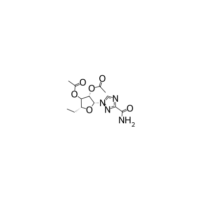 CC[C@H]1O[C@@H](n2cnc(C(N)=O)n2)[C@@H](OC(C)=O)C1OC(C)=O